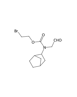 O=[C]CN(C(=O)OCCBr)C1CC2CCC1C2